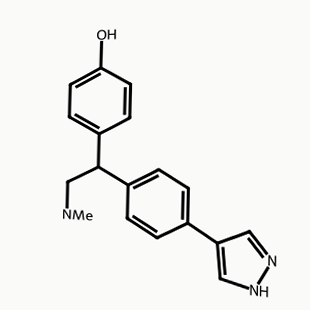 CNCC(c1ccc(O)cc1)c1ccc(-c2cn[nH]c2)cc1